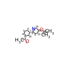 CC(=O)c1cccc(-c2ccc(OC(C)C)cn2)c1